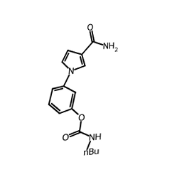 CCCCNC(=O)Oc1cccc(-n2ccc(C(N)=O)c2)c1